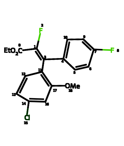 CCOC(=O)C(F)=C(c1ccc(F)cc1)c1ccc(Cl)cc1OC